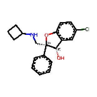 O[C@H]1c2cc(Cl)ccc2O[C@]1(CNC1CCC1)c1ccccc1